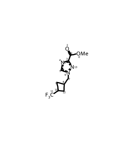 COC(=O)c1ncn(CC2CC(C(F)(F)F)C2)n1